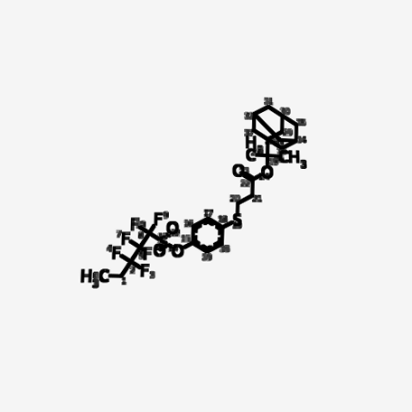 CCC(F)(F)C(F)(F)C(F)(F)S(=O)(=O)Oc1ccc(SCCC(=O)OC(C)(C)C23CC4CC(CC(C4)C2)C3)cc1